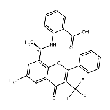 Cc1cc([C@@H](C)Nc2ccccc2C(=O)O)c2oc(-c3ccccc3)c(C(F)(F)F)c(=O)c2c1